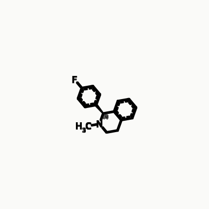 CN1CCc2ccccc2[C@@H]1c1ccc(F)cc1